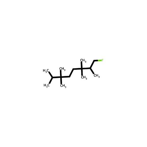 CC(C)C(C)(C)CCC(C)(C)C(C)CF